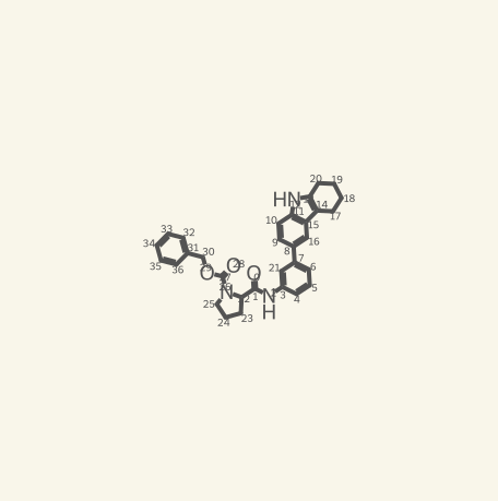 O=C(Nc1cccc(-c2ccc3[nH]c4c(c3c2)CCCC4)c1)C1CCCN1C(=O)OCc1ccccc1